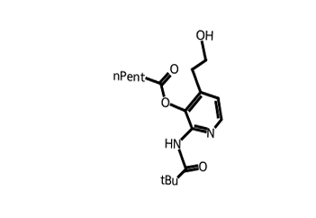 CCCCCC(=O)Oc1c(CCO)ccnc1NC(=O)C(C)(C)C